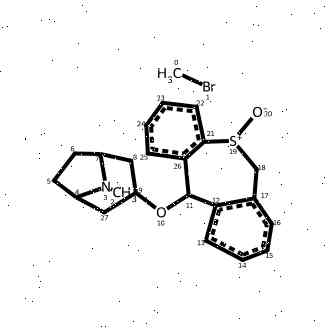 CBr.CN1C2CCC1CC(OC1c3ccccc3C[S+]([O-])c3ccccc31)C2